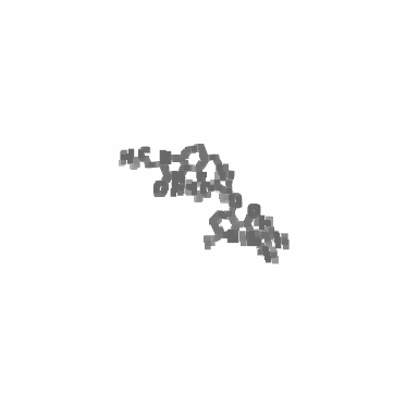 [2H]C([2H])([2H])NC(=O)c1nc(F)ccc1O[C@H]1CN(Cc2ccc3nc(CC)c(=O)[nH]c3c2F)[C@@H]1C